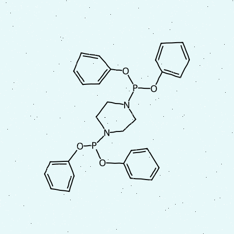 c1ccc(OP(Oc2ccccc2)N2CCN(P(Oc3ccccc3)Oc3ccccc3)CC2)cc1